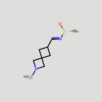 CC(C)(C)[S@@+]([O-])/N=C/C1CC2(C1)CN(C(=O)O)C2